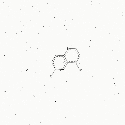 COc1ccc2nccc(Br)c2c1